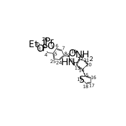 CCOP(=O)(Cc1ccc(C(=O)Nc2cc(-c3cccs3)ccc2N)cc1)C(C)C